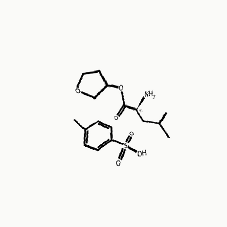 CC(C)C[C@H](N)C(=O)OC1CCOC1.Cc1ccc(S(=O)(=O)O)cc1